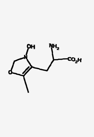 CC1=C(CC(N)C(=O)O)N(O)CO1